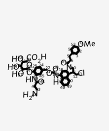 COc1ccc(CCC(=O)N2CC(CCl)c3c2cc(NC(=O)OCc2ccc(O[C@@H]4O[C@H](C(=O)O)[C@@H](O)[C@H](O)[C@H]4O)c(NC(=O)CCN)c2)c2ccccc32)cc1